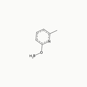 BOc1cccc(C)n1